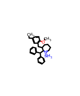 CCc1ccc(OC)c(CC2CCCCN(N)C2C(c2ccccc2)c2ccccc2)c1